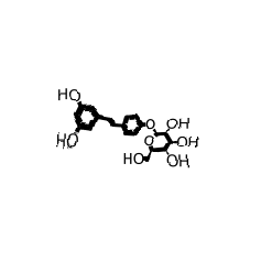 OC[C@H]1O[C@@H](Oc2ccc(/C=C/c3cc(O)cc(O)c3)cc2)[C@H](O)[C@@H](O)[C@@H]1O